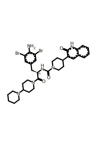 Nc1c(Br)cc(C[C@@H](NC(=O)N2CCC(c3cc4ccccc4[nH]c3=O)CC2)C(=O)N2CCC(N3CCCCC3)CC2)cc1Br